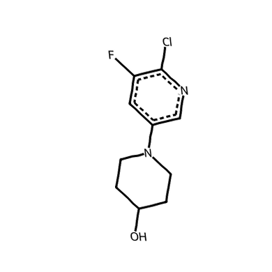 OC1CCN(c2cnc(Cl)c(F)c2)CC1